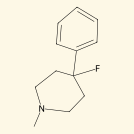 CN1CCC(F)(c2ccccc2)CC1